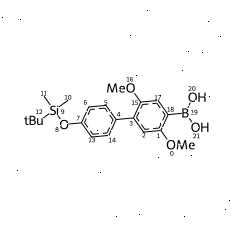 COc1cc(-c2ccc(O[Si](C)(C)C(C)(C)C)cc2)c(OC)cc1B(O)O